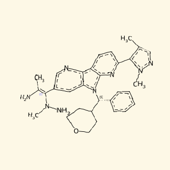 C/C(N)=C(\c1cnc2c3ccc(-c4c(C)cnn4C)nc3n([C@H](c3ccccc3)C3CCOCC3)c2c1)N(C)N